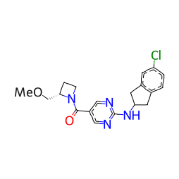 COC[C@@H]1CCN1C(=O)c1cnc(NC2Cc3ccc(Cl)cc3C2)nc1